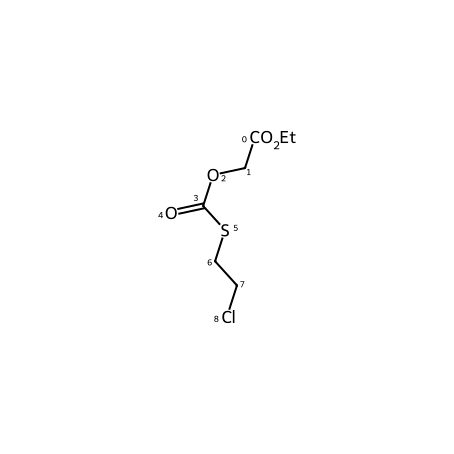 CCOC(=O)COC(=O)SCCCl